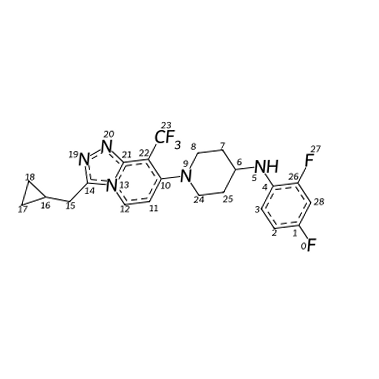 Fc1ccc(NC2CCN(c3ccn4c(CC5CC5)nnc4c3C(F)(F)F)CC2)c(F)c1